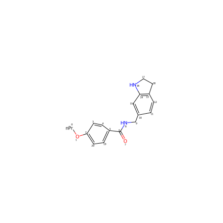 CCCOc1ccc(C(=O)NCc2ccc3c(c2)NCC3)cc1